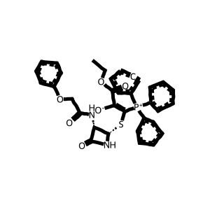 CCOC(=O)C([O-])=C(S[C@@H]1NC(=O)[C@@H]1NC(=O)COc1ccccc1)[P+](c1ccccc1)(c1ccccc1)c1ccccc1